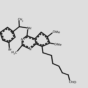 COc1cc2c(NC(C)c3cccc(Br)c3)nc(C)nc2c(CCCCCCC=O)c1OC